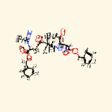 CCC(C)C(=O)C(CC(=O)OCc1ccccc1)NC(C)(CC)C(C)(C)C(=O)CC(NC(C)C)C(=O)OCc1ccccc1